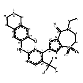 CCN1CCS(=O)(=O)c2cc(-c3nc(Nc4cc5c(cc4Cl)CNCC5)ncc3C(F)(F)F)sc2C1=O